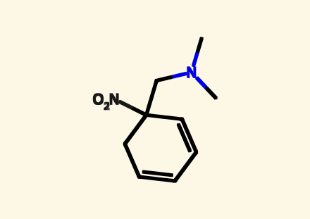 CN(C)CC1([N+](=O)[O-])C=CC=CC1